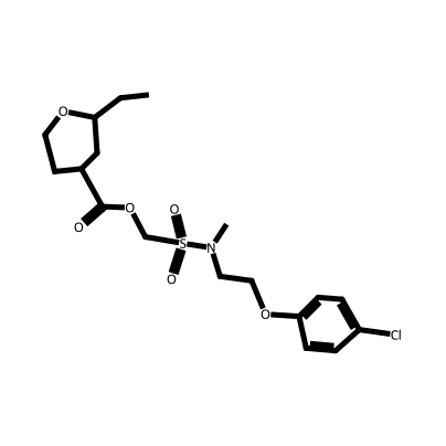 CCC1CC(C(=O)OCS(=O)(=O)N(C)CCOc2ccc(Cl)cc2)CCO1